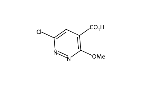 COc1nnc(Cl)cc1C(=O)O